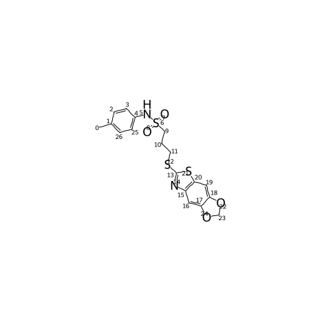 Cc1ccc(NS(=O)(=O)CCCSc2nc3cc4c(cc3s2)OCO4)cc1